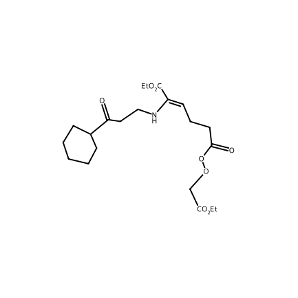 CCOC(=O)COOC(=O)CC/C=C(\NCCC(=O)C1CCCCC1)C(=O)OCC